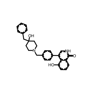 O=c1[nH]cc(-c2ccc(CN3CCC(O)(Cc4ccccc4)CC3)cc2)c2c(O)cccc12